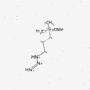 CO[Si](C)(C)CCCNN=N